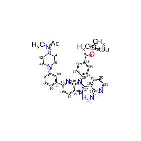 CC(=O)N(C)C1CCN(c2cccc(-c3ccc4nc(-c5cccnc5N)n(-c5ccc(CO[Si](C)(C)C(C)(C)C)cc5)c4n3)c2)CC1